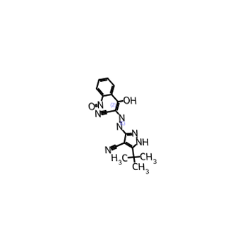 CC(C)(C)c1[nH]nc(/N=N/C(C#N)=C(\O)c2ccccc2N=O)c1C#N